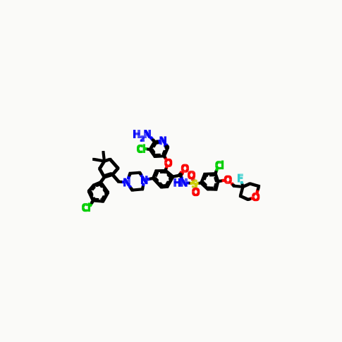 CC1(C)CCC(CN2CCN(c3ccc(C(=O)NS(=O)(=O)c4ccc(OCC5(F)CCOCC5)c(Cl)c4)c(Oc4cnc(N)c(Cl)c4)c3)CC2)=C(c2ccc(Cl)cc2)C1